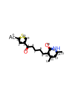 CC(=O)c1cc(C(=O)CCCCc2c(C)cc(C)[nH]c2=O)cs1